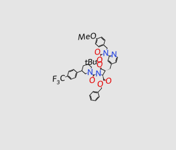 COc1ccc(CN(C(=O)OC(C)(C)C)c2cc(C[C@H]3C(=O)N(C(=O)N4CCCC(c5ccc(C(F)(F)F)cc5)C4)[C@@H]3C(=O)OCc3ccccc3)ccn2)cc1